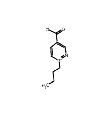 CCCC[n+]1ccc(C(=O)Cl)cn1